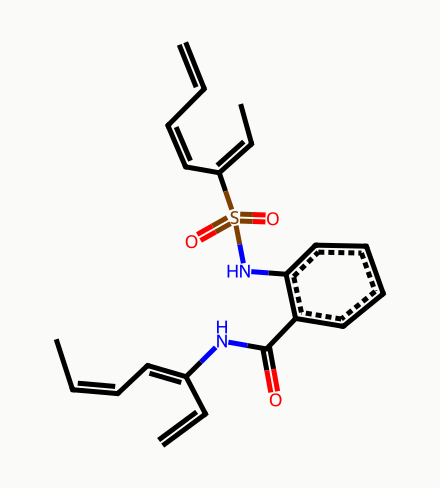 C=C/C=C\C(=C/C)S(=O)(=O)Nc1ccccc1C(=O)N/C(C=C)=C/C=C\C